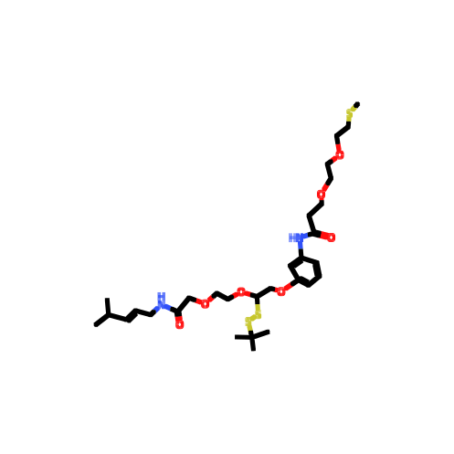 CSCCOCCOCCC(=O)Nc1cccc(OCC(OCCOCC(=O)NC/C=C/C(C)C)SSC(C)(C)C)c1